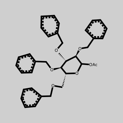 CC(=O)OC1O[C@H](COCc2ccccc2)[C@@H](OCc2ccccc2)[C@H](OCc2ccccc2)[C@H]1OCc1ccccc1